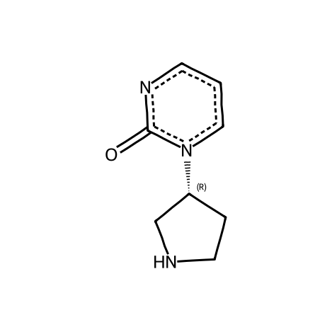 O=c1ncccn1[C@@H]1CCNC1